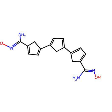 N/C(=N\O)C1=CC=C(C2=CC=C(C3=CC=C(/C(N)=N/O)C3)C2)C1